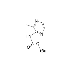 Cc1nccnc1NC(=O)OC(C)(C)C